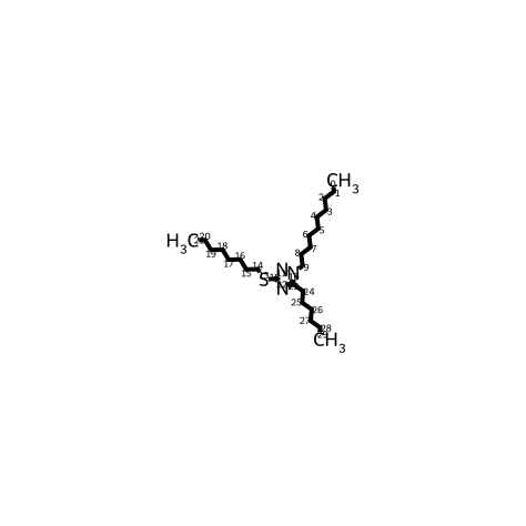 CCCCCCCCCCn1nc(SCCCCCCCC)nc1CCCCCC